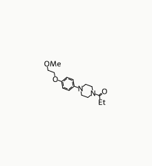 CCC(=O)N1CCN(c2ccc(OCCOC)cc2)CC1